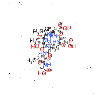 CCC[C@H](NC(=O)[C@@H]1CCCN1C(=O)[C@@H](NC(=O)[C@@H](NC(=O)[C@H](CCC(=O)O)NC(=O)[C@H](CCC(=O)O)NC(C)=O)C(C)C)C(C)O)C(=O)C(=O)NCC(=O)O